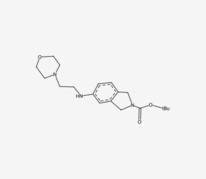 CC(C)(C)OC(=O)N1Cc2ccc(NCCN3CCOCC3)cc2C1